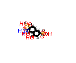 NC1(S(=O)(=O)O)C=Cc2cc(S(=O)(=O)O)cc(O)c2C1O